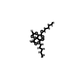 CCCCCCOC(=O)C(OC(C)=O)C(OC(C)=O)C(=O)OCCCCCC